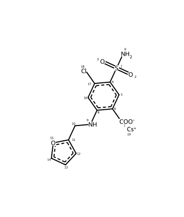 NS(=O)(=O)c1cc(C(=O)[O-])c(NCc2ccco2)cc1Cl.[Cs+]